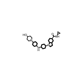 O=C(NC1CC1)c1ccc2c(ccn2-c2ccc(Nc3ccc(N4CCC(O)CC4)cc3)cc2)c1